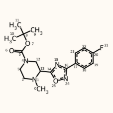 CN1CCN(C(=O)OC(C)(C)C)CC1c1nc(-c2ccc(F)cc2)no1